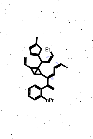 C=CC1C2C(/C(=C\C=C/F)C(=C)c3ccccc3CCC)C12C(/C=C\CC)C1=CC=C(C)C1